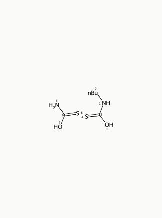 CCCCNC(O)=S.NC(O)=S